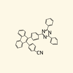 N#Cc1ccc(-c2c(-c3ccc(-c4nc(-c5ccccc5)nc(-c5ccccc5)n4)cc3)c3ccccc3c3ccccc23)cc1